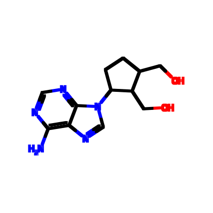 Nc1ncnc2c1ncn2C1CCC(CO)C1CO